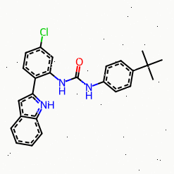 CC(C)(C)c1ccc(NC(=O)Nc2cc(Cl)ccc2-c2cc3ccccc3[nH]2)cc1